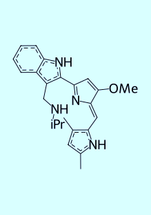 COC1=CC(c2[nH]c3ccccc3c2CNC(C)C)=N/C1=C\c1[nH]c(C)cc1C